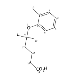 Cc1ccccc1OC(C)(C)CCCC(=O)O